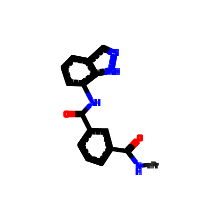 CCCNC(=O)c1cccc(C(=O)Nc2cccc3cn[nH]c23)c1